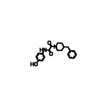 O=C(Nc1ccc(O)cc1)C(=O)N1CCC(Cc2ccccc2)CC1